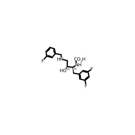 O=C(O)N[C@@H](Cc1cc(F)cc(F)c1)[C@@H](O)CNCc1cccc(F)c1